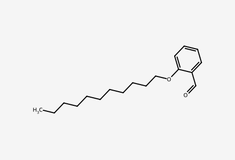 CCCCCCCCCCCOc1ccccc1C=O